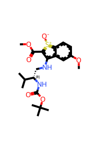 COC(=O)c1c(NC[C@H](NC(=O)OC(C)(C)C)C(C)C)c2cc(OC)ccc2[s+]1[O-]